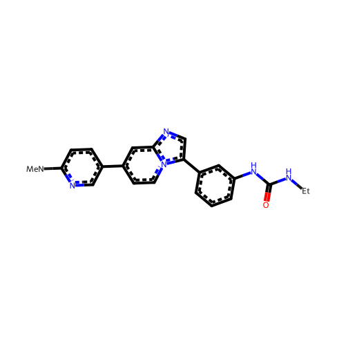 CCNC(=O)Nc1cccc(-c2cnc3cc(-c4ccc(NC)nc4)ccn23)c1